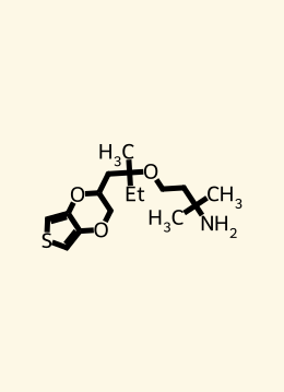 CCC(C)(CC1COc2cscc2O1)OCCC(C)(C)N